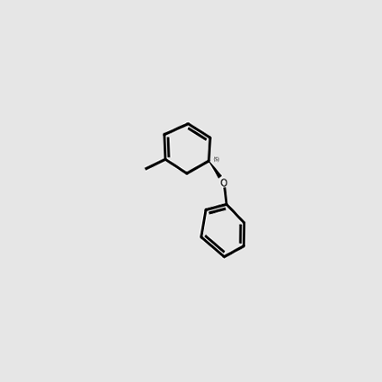 CC1=CC=C[C@@H](Oc2ccccc2)C1